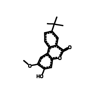 COc1cc2c(cc1O)oc(=O)c1cc(C(C)(C)C)ccc12